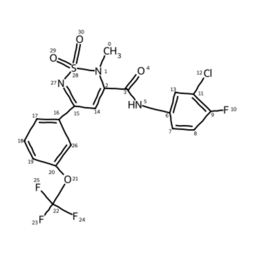 CN1C(C(=O)Nc2ccc(F)c(Cl)c2)=CC(c2cccc(OC(F)(F)F)c2)=NS1(=O)=O